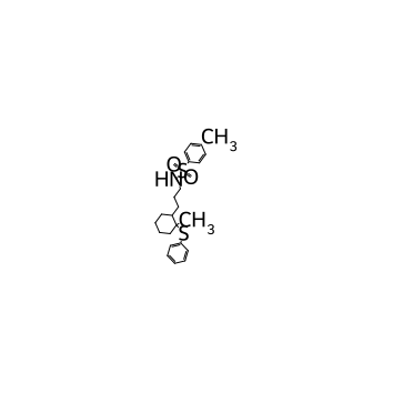 Cc1ccc(S(=O)(=O)NCCCC2CCCCC2(C)Sc2ccccc2)cc1